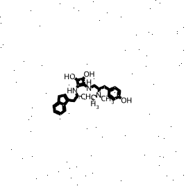 C[C@H](CC1=CCc2ccccc21)NC1=C(NCC(Cc2ccc(O)cc2)N(C)C)C(O)C1O